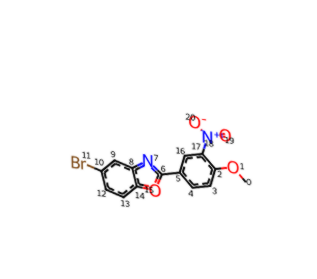 COc1ccc(-c2nc3cc(Br)ccc3o2)cc1[N+](=O)[O-]